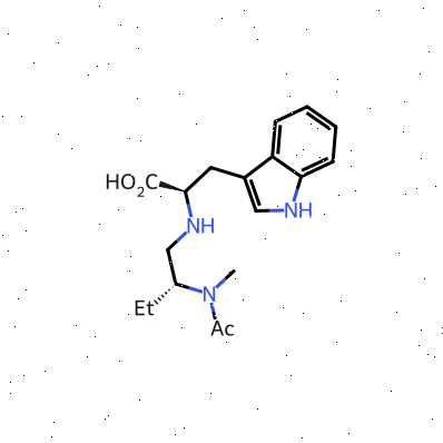 CC[C@H](CN[C@H](Cc1c[nH]c2ccccc12)C(=O)O)N(C)C(C)=O